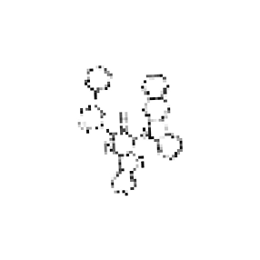 c1cc(-c2ccccc2)cc(C2=Nc3c(sc4ccccc34)C(n3c4ccccc4c4cc5ccccc5cc43)N2)c#1